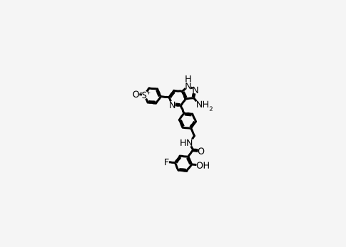 Nc1n[nH]c2cc(C3=CC[S+]([O-])C=C3)nc(-c3ccc(CNC(=O)c4cc(F)ccc4O)cc3)c12